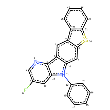 Fc1cnc2c3cc4c(cc3n(-c3ccccc3)c2c1)sc1ccccc14